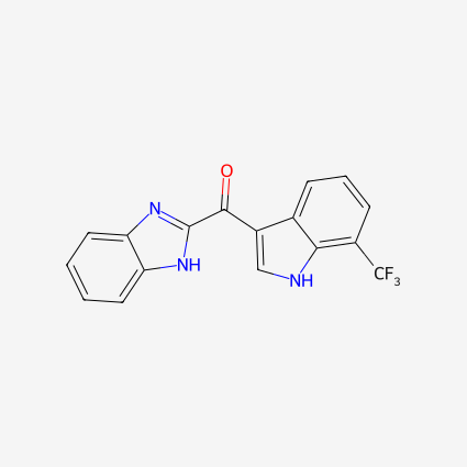 O=C(c1nc2ccccc2[nH]1)c1c[nH]c2c(C(F)(F)F)cccc12